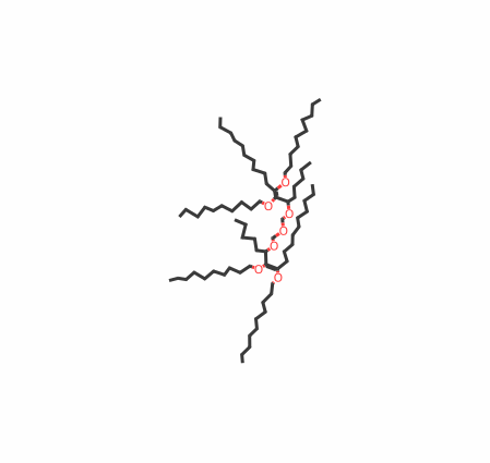 CCCCCCCCCCOC(CCCCCCCCCC)=C(OCCCCCCCCCC)C(CCCCC)OCOCOC(CCCCC)C(OCCCCCCCCCC)=C(CCCCCCCCCC)OCCCCCCCCCC